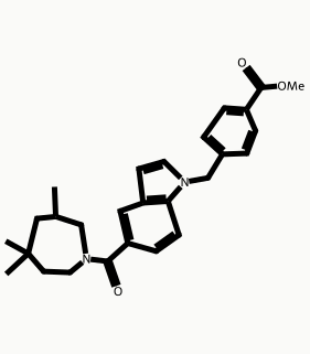 COC(=O)c1ccc(Cn2ccc3cc(C(=O)N4CCC(C)(C)CC(C)C4)ccc32)cc1